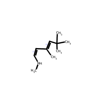 CN/C=C\C(C)=C\C(C)(C)C